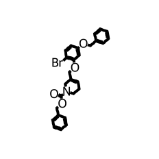 O=C(OCc1ccccc1)N1CCC=C(COc2cc(OCc3ccccc3)ccc2Br)C1